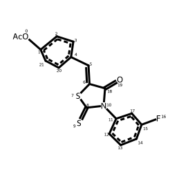 CC(=O)Oc1ccc(/C=C2\SC(=S)N(c3cccc(F)c3)C2=O)cc1